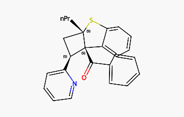 CCC[C@]12C[C@H](c3ccccn3)[C@@]1(C(=O)c1ccccc1)c1ccccc1S2